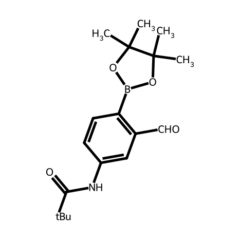 CC(C)(C)C(=O)Nc1ccc(B2OC(C)(C)C(C)(C)O2)c(C=O)c1